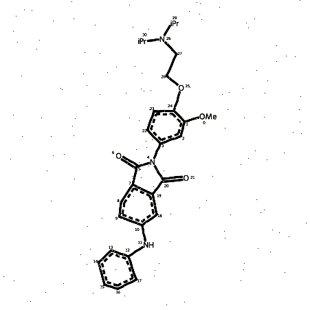 COc1cc(N2C(=O)c3ccc(Nc4ccccc4)cc3C2=O)ccc1OCCN(C(C)C)C(C)C